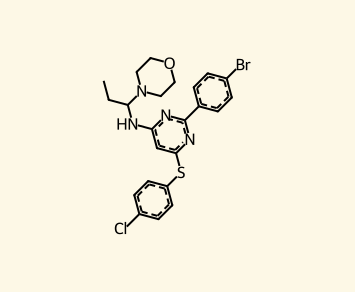 CCC(Nc1cc(Sc2ccc(Cl)cc2)nc(-c2ccc(Br)cc2)n1)N1CCOCC1